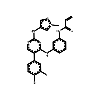 C=CC(=O)Nc1cccc(Nc2nc(Nc3cnn(C)c3)ncc2-c2ccc(Br)c(F)c2)c1